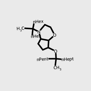 CCCCCCCC(C)(CCCCC)OC1CCC2C1OCCN2C(C)(CCCCCC)CCCCCC